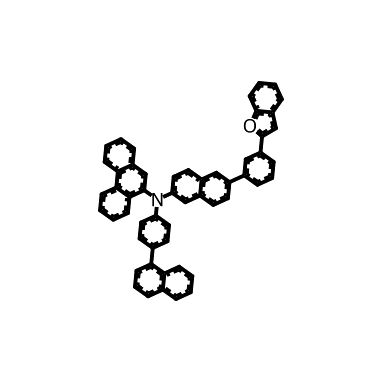 c1cc(-c2ccc3cc(N(c4ccc(-c5cccc6ccccc56)cc4)c4cc5ccccc5c5ccccc45)ccc3c2)cc(-c2cc3ccccc3o2)c1